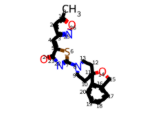 Cc1cc(C=C2SC(N3CCC4(CC3)OCc3ccccc34)=NC2=O)no1